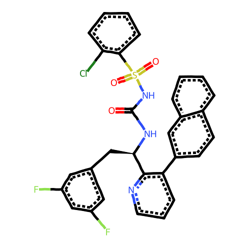 O=C(N[C@H](Cc1cc(F)cc(F)c1)c1ncccc1-c1ccc2ccccc2c1)NS(=O)(=O)c1ccccc1Cl